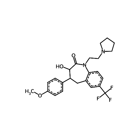 COc1ccc(C2Cc3cc(C(F)(F)F)ccc3N(CCN3CCCC3)C(=O)C2O)cc1